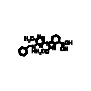 COc1nc2c(B(O)O)cccc2n1-c1nnc(C)c(NCc2ccccc2)n1